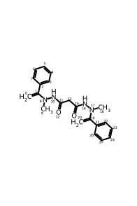 C=C(c1ccccc1)N(C)NC(=O)CC(=O)NN(C)C(=C)c1ccccc1